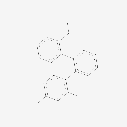 Cc1ccc(-c2ccccc2-c2cccnc2CCl)c(C)c1